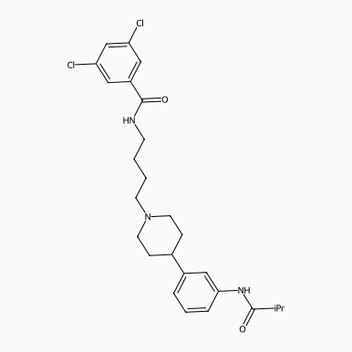 CC(C)C(=O)Nc1cccc(C2CCN(CCCCNC(=O)c3cc(Cl)cc(Cl)c3)CC2)c1